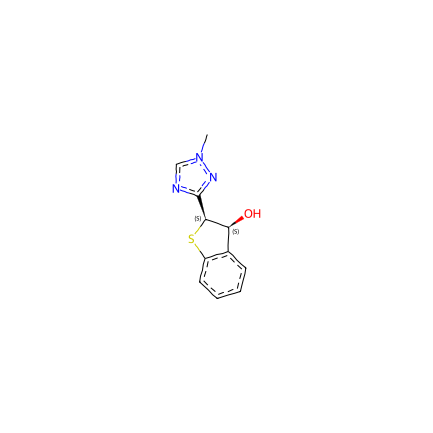 Cn1cnc([C@@H]2Sc3ccccc3[C@@H]2O)n1